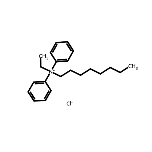 CCCCCCCC[N+](CC)(c1ccccc1)c1ccccc1.[Cl-]